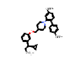 COc1ccc(-c2ccc(OC)cc2N2CCC(COc3cccc(C(CC(=O)O)C4CC4)c3)CC2)cc1